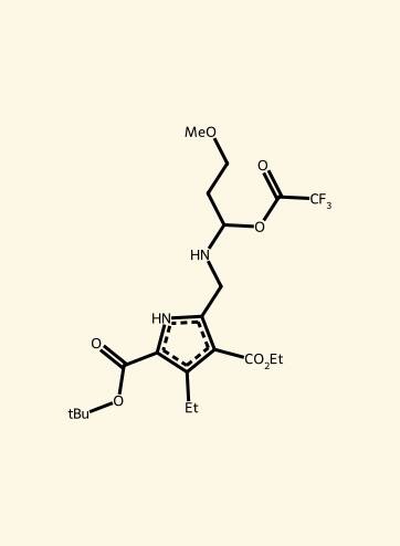 CCOC(=O)c1c(CNC(CCOC)OC(=O)C(F)(F)F)[nH]c(C(=O)OC(C)(C)C)c1CC